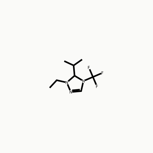 CCN1N=CN(C(F)(F)F)C1C(C)C